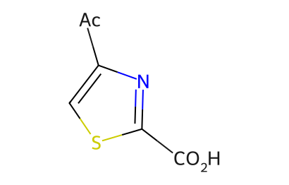 CC(=O)c1csc(C(=O)O)n1